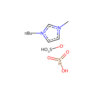 CCCC[n+]1ccn(C)c1.O=S(=O)([O-])O.O=[SH](=O)O